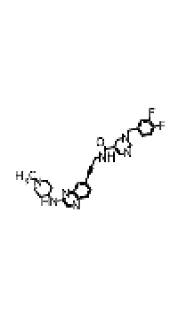 CN1CCC(Nc2cnc3ccc(C#CCNC(=O)C4=CN=CN(Cc5ccc(F)c(F)c5)C4)cc3n2)CC1